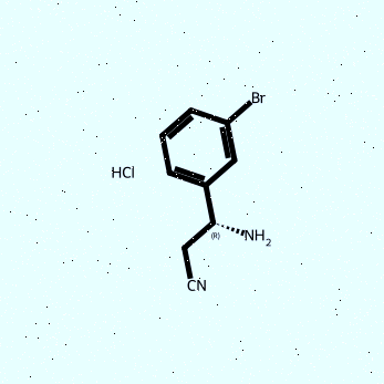 Cl.N#CC[C@@H](N)c1cccc(Br)c1